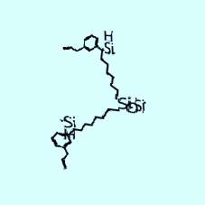 C=CCc1cccc(C(CCCCCCC[Si](C)(CCCCCCCC(c2cccc(CC=C)c2)[SiH](C)C)O[Si](C)(C)C)[SiH](C)C)c1